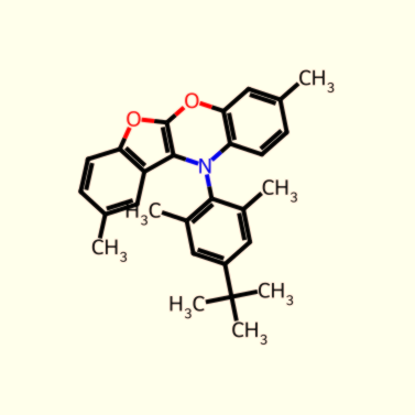 Cc1ccc2c(c1)Oc1oc3ccc(C)cc3c1N2c1c(C)cc(C(C)(C)C)cc1C